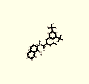 CCCC(Cc1cc(C(C)(C)C)cc(C(C)(C)C)c1)C(=O)Nc1ccc2ccccc2c1O